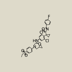 CCS(=O)(=O)c1ccc(N(CC(=O)Nc2cc(Cl)c(C3(c4noc(-c5ccc(F)cc5)n4)CC3)c(Cl)c2)CC2CC2)cc1